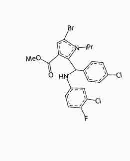 COC(=O)c1cc(Br)n(C(C)C)c1C(Nc1ccc(F)c(Cl)c1)c1ccc(Cl)cc1